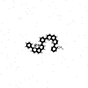 CC1C=CC=CC1c1ccc2ccc3ccc(-c4cccc(-c5ccc6ccc7c(c6n5)N(C)C(c5ccccc5)C=C7)c4)nc3c2n1